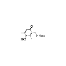 CCCCCCCc1c(C)n(O)c(C)cc1=O